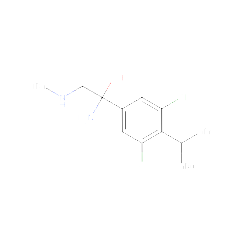 CCCCC(CCC)c1c(Cl)cc(C(N)(O)CNC(C)(C)C)cc1Cl